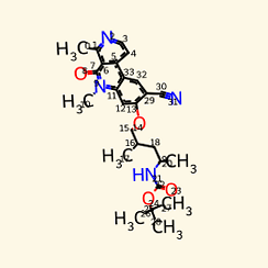 Cc1nccc2c1c(=O)n(C)c1cc(OCC(C)CC(C)NC(=O)OC(C)(C)C)c(C#N)cc21